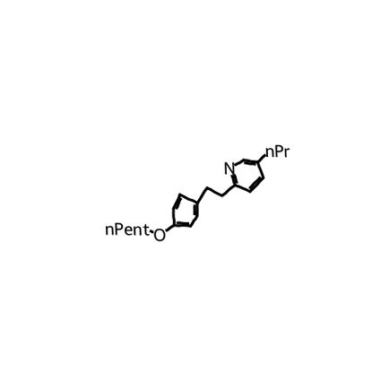 CCCCCOc1ccc(CCc2ccc(CCC)cn2)cc1